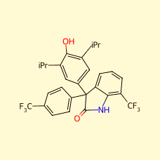 CC(C)c1cc(C2(c3ccc(C(F)(F)F)cc3)C(=O)Nc3c(C(F)(F)F)cccc32)cc(C(C)C)c1O